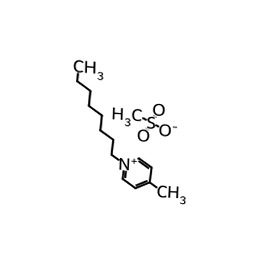 CCCCCCCC[n+]1ccc(C)cc1.CS(=O)(=O)[O-]